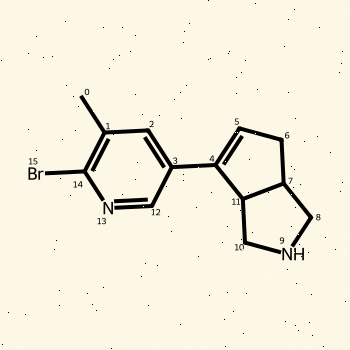 Cc1cc(C2=CCC3CNCC23)cnc1Br